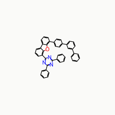 c1ccc(-c2cccc(-c3ccc(-c4cccc5c4oc4c(-c6nc(-c7ccccc7)nc(-c7ccccc7)n6)cccc45)cc3)c2)cc1